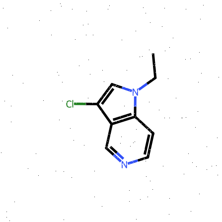 CCn1cc(Cl)c2cnccc21